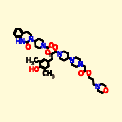 Cc1cc(C[C@@H](OC(=O)N2CCC(N3CCc4ccccc4NC3=O)CC2)C(=O)N2CCC(N3CCN(CC(=O)OCCCN4CCOCC4)CC3)CC2)cc(C)c1O